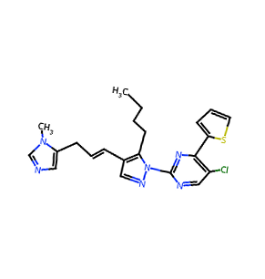 CCCCc1c(C=CCc2cncn2C)cnn1-c1ncc(Cl)c(-c2cccs2)n1